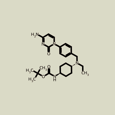 CCN(Cc1ccc(-n2ccc(N)nc2=O)cc1)[C@H]1CC[C@H](NC(=O)OC(C)(C)C)CC1